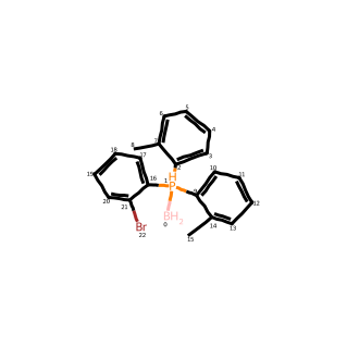 B[PH](c1ccccc1C)(c1ccccc1C)c1ccccc1Br